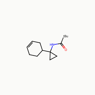 CC(C)(C)C(=O)NC1(C2CC=CCC2)CC1